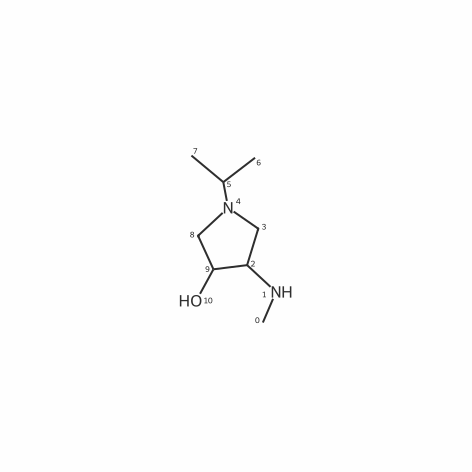 CNC1CN(C(C)C)CC1O